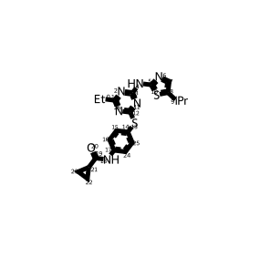 CCc1nc(Nc2ncc(C(C)C)s2)nc(Sc2ccc(NC(=O)C3CC3)cc2)n1